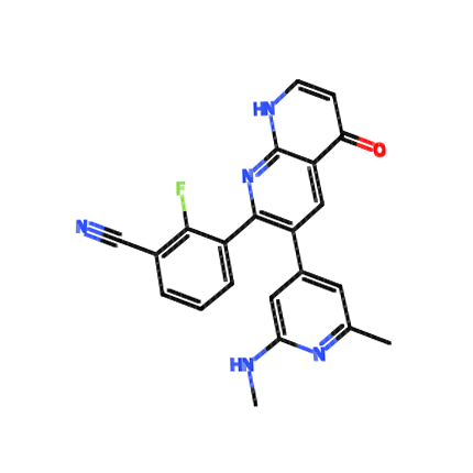 CNc1cc(-c2cc3c(=O)cc[nH]c3nc2-c2cccc(C#N)c2F)cc(C)n1